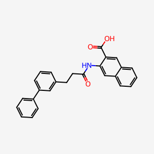 O=C(CCc1cccc(-c2ccccc2)c1)Nc1cc2ccccc2cc1C(=O)O